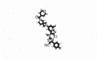 CCc1nn2c(C)cc(N3CC4(CCN(C(=O)C5CCOCC5)C4)C3)cc2c1N(C)c1nc(-c2ccc(F)cc2)c(C#N)s1